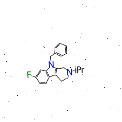 CC(C)N1CCc2c(n(Cc3ccccc3)c3cc(F)ccc23)C1